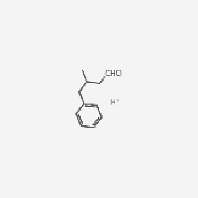 CC(CC=O)Cc1cc[c]cc1.[H+]